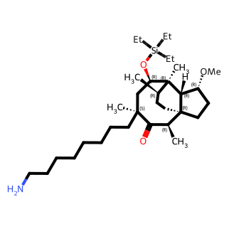 CC[Si](CC)(CC)O[C@@H]1C[C@](C)(CCCCCCCCN)C(=O)[C@H](C)[C@@]23CC[C@@H](C)[C@]1(C)[C@@H]2[C@H](OC)CC3